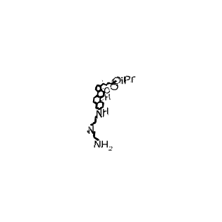 CC(C)OC(=O)CC[C@@H](C)C1CCC2C3CCC4C[C@@H](NCCCN(C)CCCN)CC[C@]4(C)C3C[C@H](O)[C@@]21C